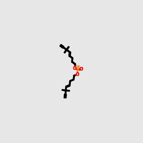 C#CC(C)(C)C=CCCCO[PH](=O)OCCCC=CC(C)(C)C#C